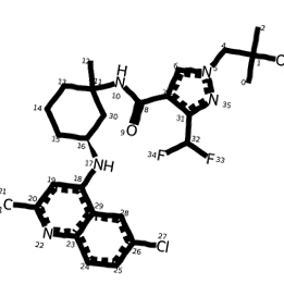 CC(C)(O)Cn1cc(C(=O)NC2(C)CCC[C@H](Nc3cc(C(F)(F)F)nc4ccc(Cl)cc34)C2)c(C(F)F)n1